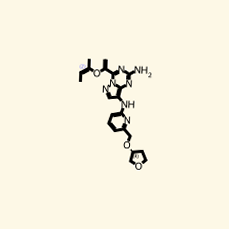 C=C(O/C(C)=C\C)c1nc(N)nc2c(Nc3cccc(CO[C@@H]4CCOC4)n3)cnn12